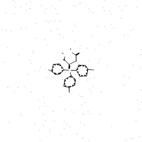 CCCCOC(=O)CC(C(=O)OCCCC)=P(c1ccc(O)cc1)(c1ccc(O)cc1)c1ccc(O)cc1